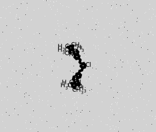 CC1(C)CC(C)(C)c2c1c(=O)nc1c3ccc(CCc4cc(Cl)cc(CCc5ccc6c(ccn7c8c(c(=O)nc67)C(C)(C)CC8(C)C)c5)c4)cc3ccn21